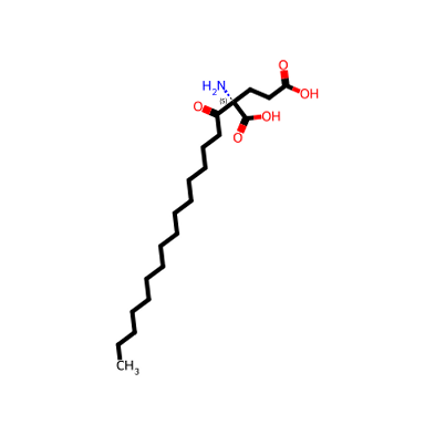 CCCCCCCCCCCCCCCC(=O)[C@@](N)(CCC(=O)O)C(=O)O